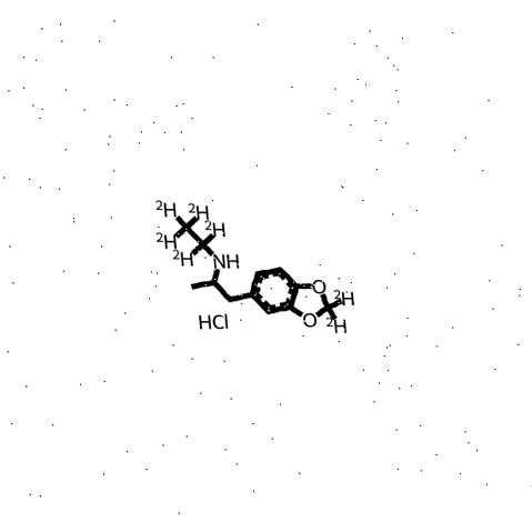 Cl.[2H]C1([2H])Oc2ccc(CC(C)NC([2H])([2H])C([2H])([2H])[2H])cc2O1